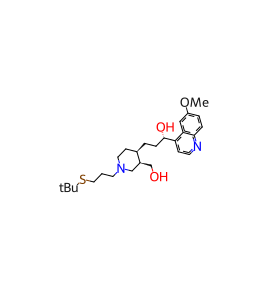 COc1ccc2nccc([C@@H](O)CC[C@@H]3CCN(CCCSC(C)(C)C)C[C@@H]3CO)c2c1